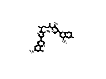 CC(CCC(C)c1ncc(-c2cc(C(F)(F)F)c3cc(F)ccc3n2)cc1O)c1ncc(-c2cnc3c(F)cc(N)cc3c2)cc1O